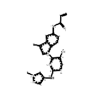 C=CC(=O)Nc1ccc2c(c1)c(C)cn2-c1nc(Nc2cnn(C)c2)ncc1C#N